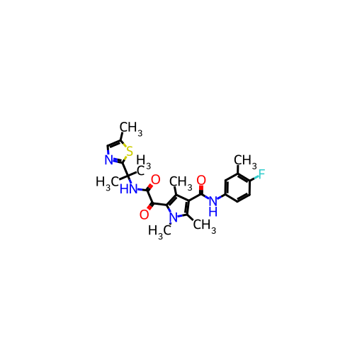 Cc1cnc(C(C)(C)NC(=O)C(=O)c2c(C)c(C(=O)Nc3ccc(F)c(C)c3)c(C)n2C)s1